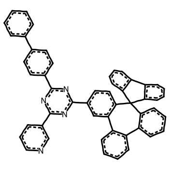 c1ccc(-c2ccc(-c3nc(-c4cccnc4)nc(-c4ccc5c(c4)-c4ccccc4-c4ccccc4C54c5ccccc5-c5ccccc54)n3)cc2)cc1